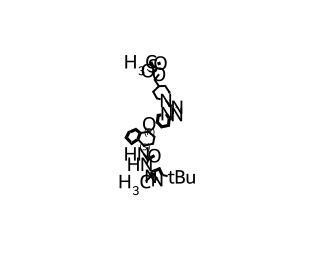 Cn1nc(C(C)(C)C)cc1NC(=O)N[C@H]1CC[C@@H](Oc2ccc3nnc(N4CCC(COS(C)(=O)=O)CC4)n3c2)c2ccccc21